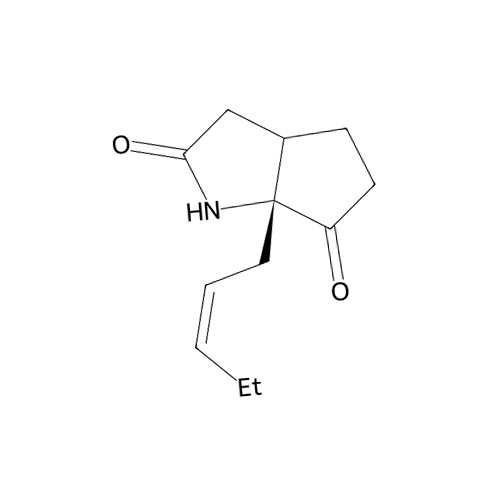 CC/C=C\C[C@@]12NC(=O)CC1CCC2=O